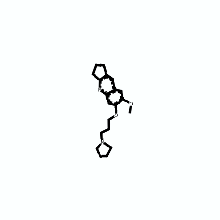 COc1cc2cc3c(nc2cc1OCCCN1CCCC1)CCC3